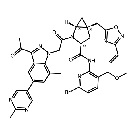 C=Cc1noc(C[C@@]23C[C@@H](C(=O)Nc4nc(Br)ccc4COC)N(C(=O)Cn4nc(C(C)=O)c5cc(-c6cnc(C)nc6)cc(C)c54)[C@@H]2C3)n1